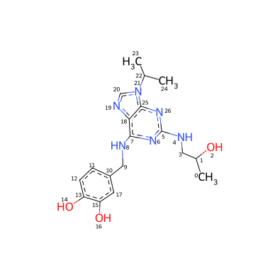 CC(O)CNc1nc(NCc2ccc(O)c(O)c2)c2ncn(C(C)C)c2n1